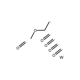 [CH]COC.[C]=O.[C]=O.[C]=O.[C]=O.[C]=O.[W]